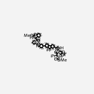 COC(=O)N[C@H](C(=O)N1CC2(C[C@@H]1c1nc(-c3ccc4c(c3)C(F)(F)c3cc(-c5ccc6nc([C@@H]7CCCN7C(=O)[C@H](NC(=O)OC)c7ccccc7)[nH]c6c5)ccc3-4)c[nH]1)OCCO2)C(C)C